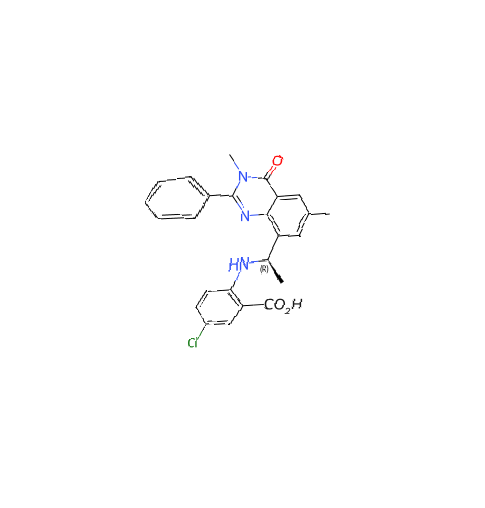 Cc1cc([C@@H](C)Nc2ccc(Cl)cc2C(=O)O)c2nc(-c3ccccc3)n(C)c(=O)c2c1